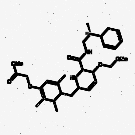 COCOC1C=CC(CC2C(C)=CC(OCC(=O)OC)=C(C)C2C)NC1C(=O)NC[C@H](C)C1C=CC=CC1